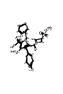 Cc1c(-c2ccc(Cl)cc2)c(C(=O)N2CC(S(C)(=O)=O)C2)n(Cc2ccccc2)c1C(F)(F)F